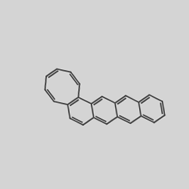 C1=CC=Cc2c(ccc3cc4cc5ccccc5cc4cc23)C=C1